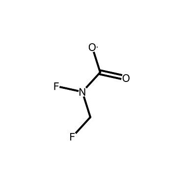 [O]C(=O)N(F)CF